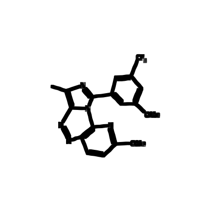 COc1cc(-c2nc(C)c3nnc4ccc(OC)nc4n23)cc(C(F)(F)F)c1